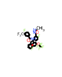 Cc1nnc(-c2cc(C(Cc3ccccc3)(NC(=O)c3ccc(F)c(C(F)(F)F)c3)c3cc(F)cc(OC(F)(F)C(F)F)c3)ccc2F)o1